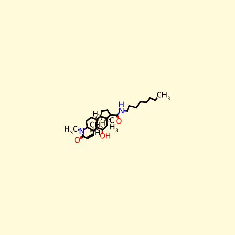 CCCCCCCCNC(=O)C1CC[C@H]2[C@@H]3CCC4N(C)C(=O)C=C[C@]4(C)[C@@H]3C(O)C[C@]12C